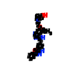 CCN(CCO)CCCOc1cc2ncnc(NCCc3ccc(NC(=O)Nc4ccccc4)cc3)c2cc1OC